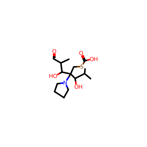 CC(C)C(O)C(CSC(=O)O)(C(O)C(C)C=O)N1CCCC1